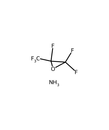 FC(F)(F)C1(F)OC1(F)F.N